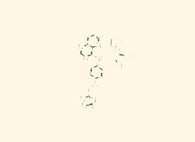 C=CC(=O)N1CC[C@H](Oc2ccc3ncnc(Nc4ccc(OCc5nnnn5C)c(Cl)c4)c3n2)C1